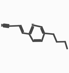 CCCCc1ccc(C=CC#N)nc1